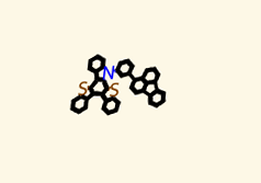 c1cc(-c2ccc3c4c(cccc24)-c2ccccc2-3)cc(-n2c3ccccc3c3c4sc5ccccc5c4c4c5ccccc5sc4c32)c1